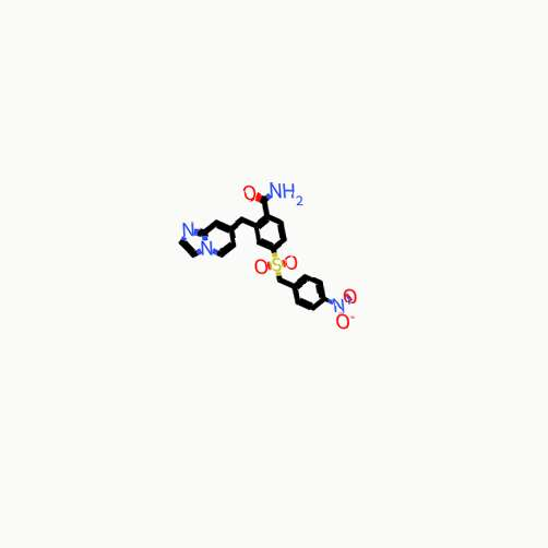 NC(=O)c1ccc(S(=O)(=O)Cc2ccc([N+](=O)[O-])cc2)cc1Cc1ccn2ccnc2c1